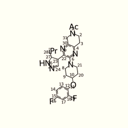 CC(=O)N1CCc2nc(N3CCC(Oc4ccc(F)cc4F)CC3)c(C3C=NNC3C(C)C)nc2C1